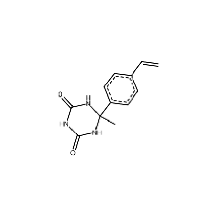 C=Cc1ccc(C2(C)NC(=O)NC(=O)N2)cc1